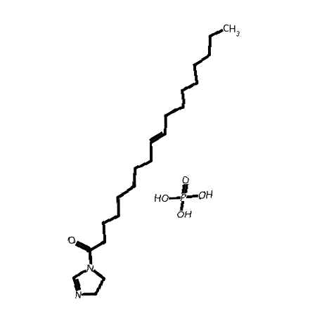 CCCCCCCCC=CCCCCCCCC(=O)N1C=NCC1.O=P(O)(O)O